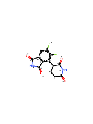 O=C1CCC(c2c(F)c(F)cc3c2C(=O)NC3=O)C(=O)N1